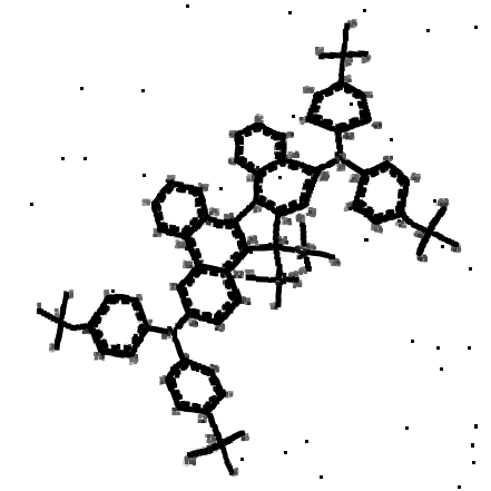 CC(C)(C)c1ccc(N(c2ccc(C(C)(C)C)cc2)c2ccc3c4c(c5ccccc5c3c2)-c2c(cc(N(c3ccc(C(C)(C)C)cc3)c3ccc(C(C)(C)C)cc3)c3ccccc23)C4([Si](C)(C)C)[Si](C)(C)C)cc1